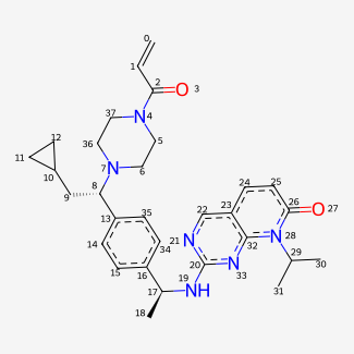 C=CC(=O)N1CCN([C@@H](CC2CC2)c2ccc([C@H](C)Nc3ncc4ccc(=O)n(C(C)C)c4n3)cc2)CC1